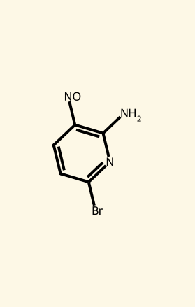 Nc1nc(Br)ccc1N=O